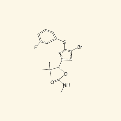 CNC(=O)OC(c1cc(Br)c(Sc2cccc(F)c2)s1)C(C)(C)C